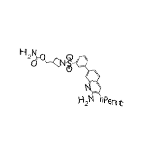 CCCCCc1cc2ccc(-c3cccc(S(=O)(=O)N4CC(COC(N)=O)C4)c3)cc2nc1N